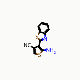 N#Cc1csc(N)c1-c1nc2ccccc2s1